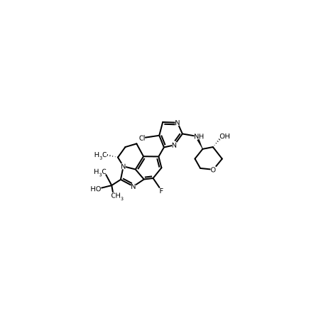 C[C@@H]1CCc2c(-c3nc(N[C@@H]4CCOC[C@H]4O)ncc3Cl)cc(F)c3nc(C(C)(C)O)n1c23